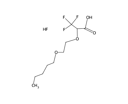 CCCCCOCCOC(C(=O)O)C(F)(F)F.F